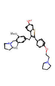 COc1cc(Cc2c(-c3ccc(OCCN4CCCC4)cc3)sc3cc(O)ccc23)cc(OC)c1CN1CCCC1